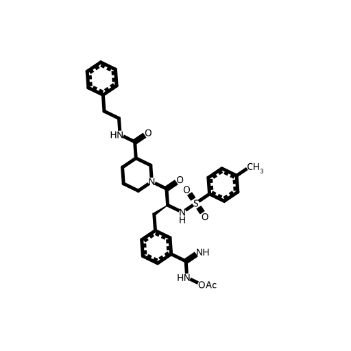 CC(=O)ONC(=N)c1cccc(C[C@H](NS(=O)(=O)c2ccc(C)cc2)C(=O)N2CCCC(C(=O)NCCc3ccccc3)C2)c1